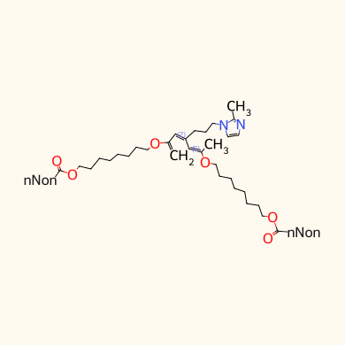 C=C(/C=C(\C=C(/C)OCCCCCCCCOC(=O)CCCCCCCCC)CCCn1ccnc1C)OCCCCCCCCOC(=O)CCCCCCCCC